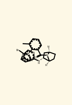 Cc1cccc(C(=O)N2[C@@H]3CC[C@H]2[C@H](Nc2ncc(Br)cn2)C3)c1-n1nccn1